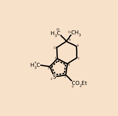 CCOC(=O)c1sc(C)c2c1CCC(C)(C)C2